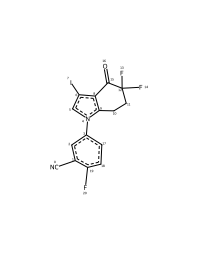 N#Cc1cc(-n2cc(I)c3c2CCC(F)(F)C3=O)ccc1F